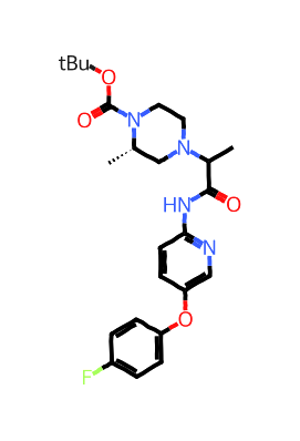 CC(C(=O)Nc1ccc(Oc2ccc(F)cc2)cn1)N1CCN(C(=O)OC(C)(C)C)[C@@H](C)C1